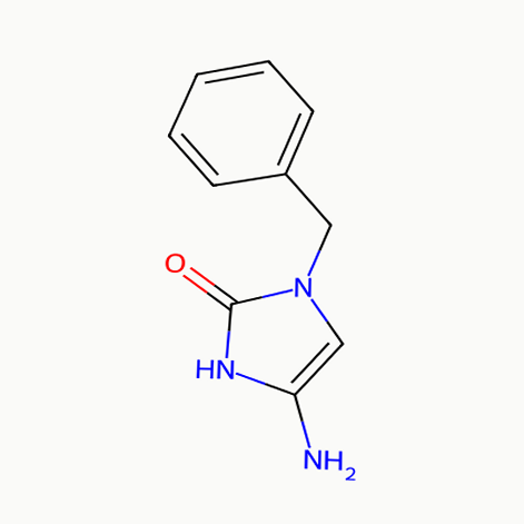 Nc1cn(Cc2ccccc2)c(=O)[nH]1